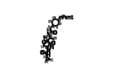 CCCCCC1CCC(CC(=O)N[C@H]2CO[C@H]3[C@@H]2OC[C@@H]3NC(=O)C2CC2)CC1